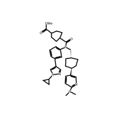 COC(=O)C1CCC(C(=O)N(C[C@H]2CC[C@H](c3ccc(N(C)C)nc3)CC2)c2cccc(-c3cnn(C4CC4)c3)c2)CC1